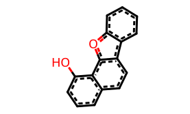 Oc1cccc2ccc3c4ccccc4oc3c12